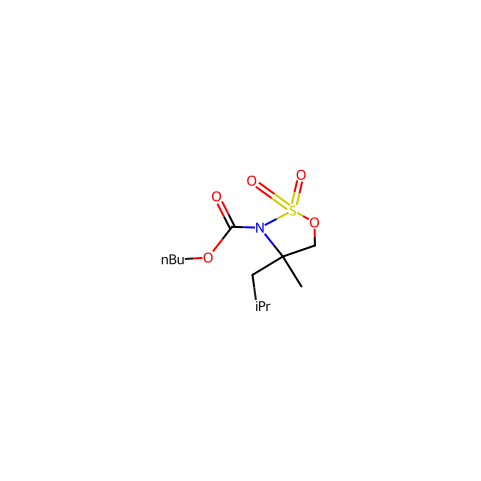 CCCCOC(=O)N1C(C)(CC(C)C)COS1(=O)=O